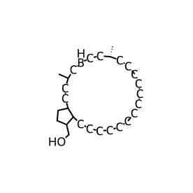 CC1CBCC[C@H](C)CCCCCCCCCCCCCC2C(CO)CCC2CC1